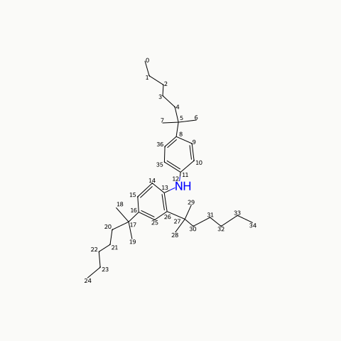 CCCCCC(C)(C)c1ccc(Nc2ccc(C(C)(C)CCCCC)cc2C(C)(C)CCCCC)cc1